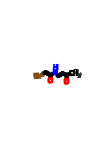 CC(=O)CCNC(=O)CBr